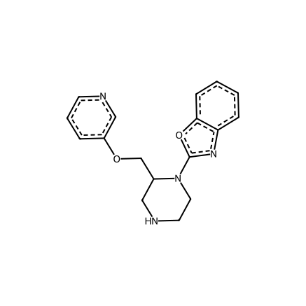 c1cncc(OCC2CNCCN2c2nc3ccccc3o2)c1